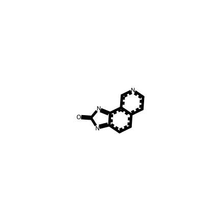 O=C1N=c2ccc3ccncc3c2=N1